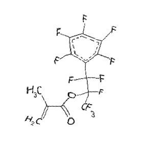 C=C(C)C(=O)OC(F)(C(F)(F)F)C(F)(F)c1c(F)c(F)c(F)c(F)c1F